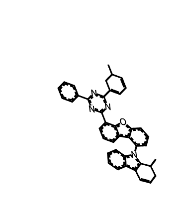 CC1C=CC=C(c2nc(-c3ccccc3)nc(-c3cccc4c3oc3cccc(-n5c6c(c7ccccc75)C=CCC6C)c34)n2)C1